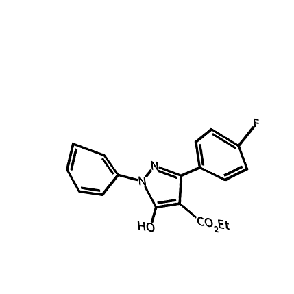 CCOC(=O)c1c(-c2ccc(F)cc2)nn(-c2ccccc2)c1O